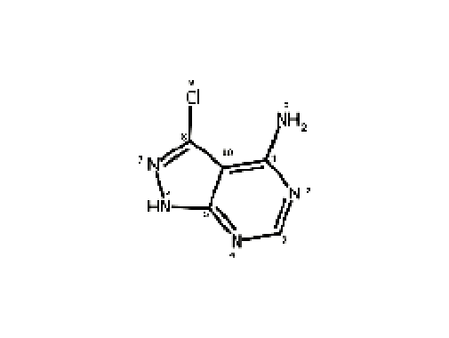 Nc1ncnc2[nH]nc(Cl)c12